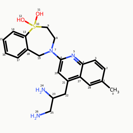 Cc1ccc2nc(N3CCS(O)(O)c4ccccc4C3)cc(CC(N)CN)c2c1